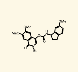 CCn1cc(OC(=O)NC2CCc3ccc(OC)cc32)c2cc(OC)c(OC)cc2c1=O